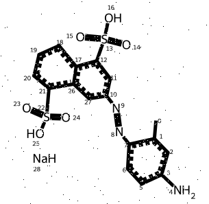 Cc1cc(N)ccc1N=Nc1cc(S(=O)(=O)O)c2cccc(S(=O)(=O)O)c2c1.[NaH]